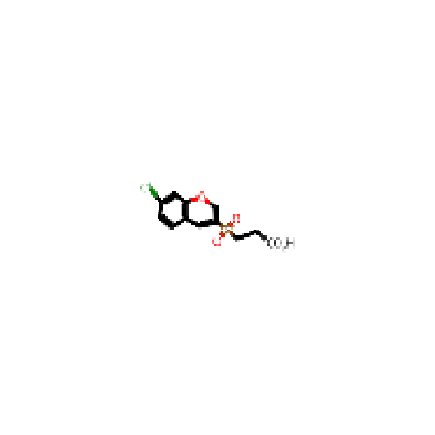 O=C(O)CCS(=O)(=O)C1=Cc2ccc(Cl)cc2OC1